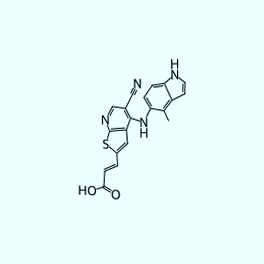 Cc1c(Nc2c(C#N)cnc3sc(/C=C/C(=O)O)cc23)ccc2[nH]ccc12